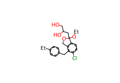 CCOC1(CC(O)CO)OCc2c1ccc(Cl)c2Cc1ccc(CC)cc1